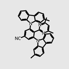 Cc1ccc2c3ccccc3n(-c3cc(C#N)cc(-n4c5ccccc5c5ccc(C)cc54)c3-c3nc(C)cc(C)n3)c2c1